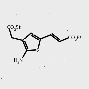 CCOC(=O)C=Cc1cc(CC(=O)OCC)c(N)s1